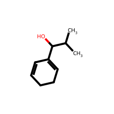 CC(C)C(O)C1=CCCC=C1